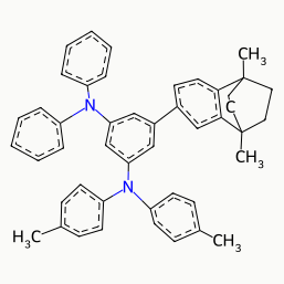 Cc1ccc(N(c2ccc(C)cc2)c2cc(-c3ccc4c(c3)C3(C)CCC4(C)CC3)cc(N(c3ccccc3)c3ccccc3)c2)cc1